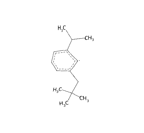 CC(C)c1[c]c(CC(C)(C)C)ccc1